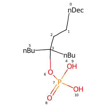 CCCCCCCCCCCCC(CCCC)(CCCC)OP(=O)(O)O